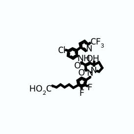 CC12CCCN1N(Cc1ccc(CCCCCCC(=O)O)c(F)c1F)C(=O)C(C(=O)Nc1ccc(Cl)cc1-c1ccc(C(F)(F)F)nc1)=C2O